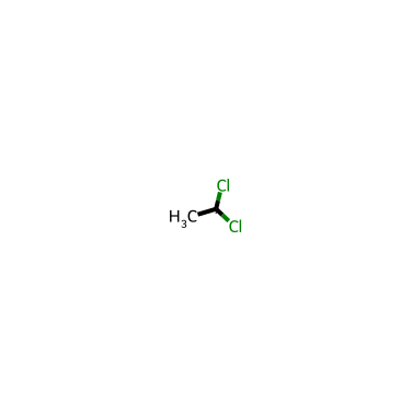 C[C](Cl)Cl